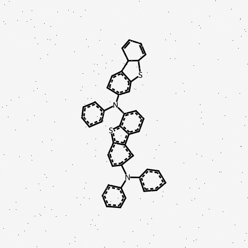 C1=CC2Sc3cc(N(c4ccccc4)c4cccc5c4sc4ccc(N(c6ccccc6)c6ccccc6)cc45)ccc3C2C=C1